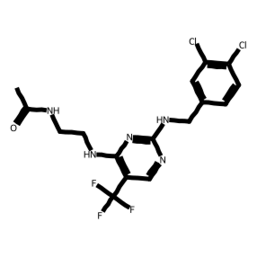 CC(=O)NCCNc1nc(NCc2ccc(Cl)c(Cl)c2)ncc1C(F)(F)F